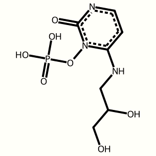 O=c1nccc(NCC(O)CO)n1OP(=O)(O)O